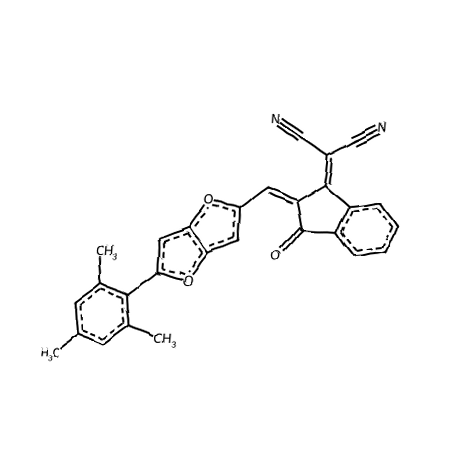 Cc1cc(C)c(-c2cc3oc(/C=C4\C(=O)c5ccccc5C4=C(C#N)C#N)cc3o2)c(C)c1